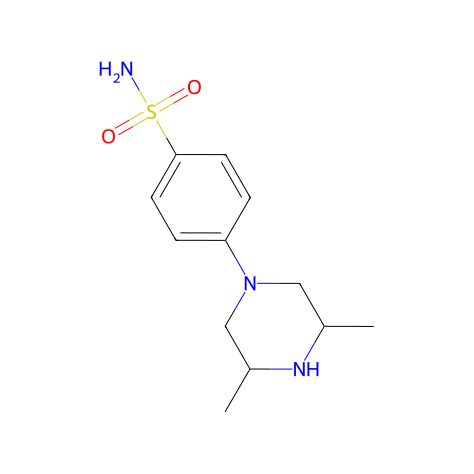 CC1CN(c2ccc(S(N)(=O)=O)cc2)CC(C)N1